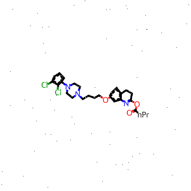 CCCC(=O)OC1=Nc2cc(OCCCCN3CCN(c4cccc(Cl)c4Cl)CC3)ccc2CC1